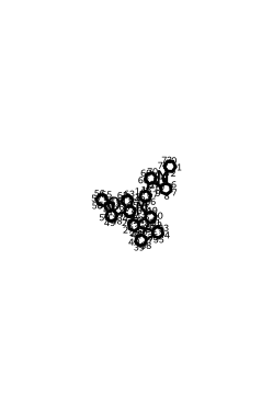 c1ccc(-n2c3ccccc3c3c(-c4ccc(N(c5cccc6c5-c5ccccc5C65c6ccccc6-c6ccccc65)c5ccc(-c6cccc7c6oc6ccccc67)c6ccccc56)cc4)cccc32)cc1